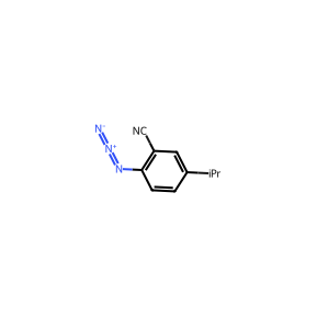 CC(C)c1ccc(N=[N+]=[N-])c(C#N)c1